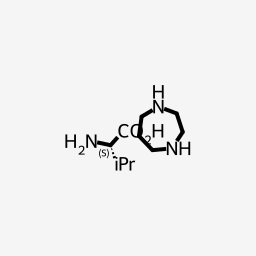 C1CNCCNC1.CC(C)[C@H](N)C(=O)O